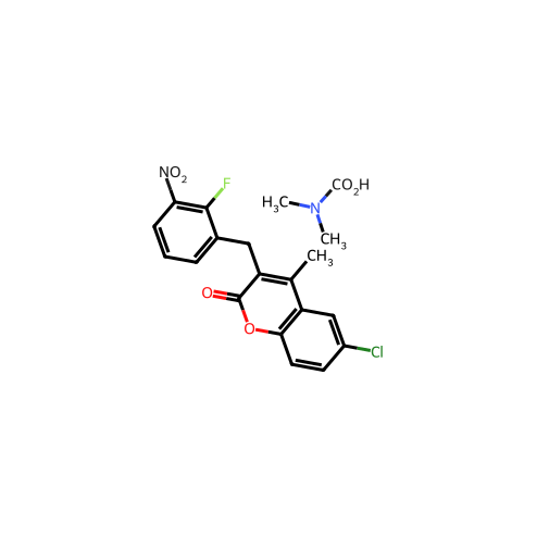 CN(C)C(=O)O.Cc1c(Cc2cccc([N+](=O)[O-])c2F)c(=O)oc2ccc(Cl)cc12